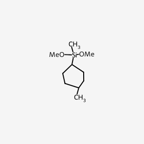 CO[Si](C)(OC)C1CCC(C)CC1